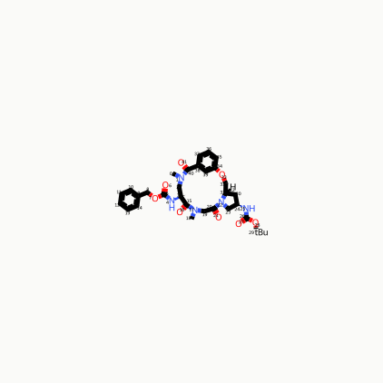 CN1C[C@H](NC(=O)OCc2ccccc2)C(=O)N(C)CC(=O)N2C[C@@H](NC(=O)OC(C)(C)C)C[C@H]2COc2cccc(c2)C1=O